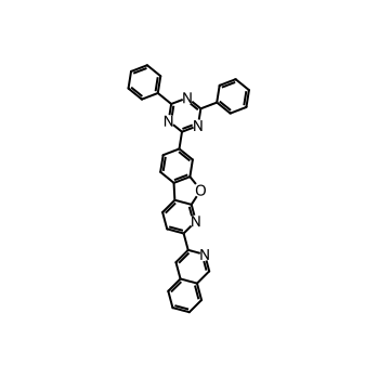 c1ccc(-c2nc(-c3ccccc3)nc(-c3ccc4c(c3)oc3nc(-c5cc6ccccc6cn5)ccc34)n2)cc1